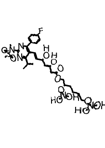 CC(C)c1nc(N(C)S(C)(=O)=O)nc(-c2ccc(F)cc2)c1/C=C/C(O)CC(O)CC(=O)OCC(CCCCON(O)O)ON(O)O